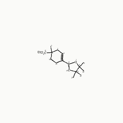 CCOC(=O)C1(C)CC=C(B2OC(C)(C)C(C)(C)O2)CC1